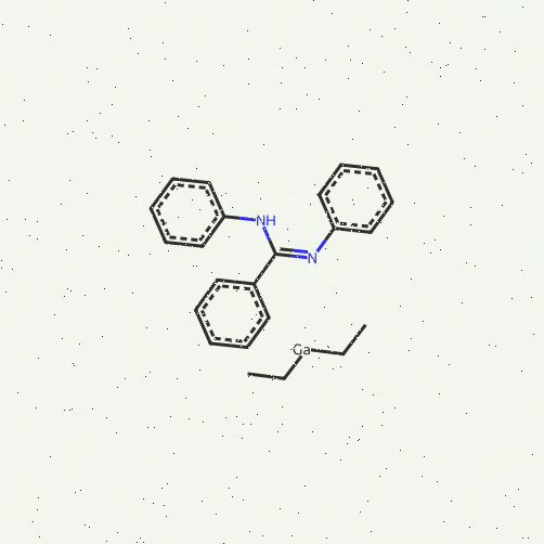 C[CH2][Ga][CH2]C.c1ccc(N=C(Nc2ccccc2)c2ccccc2)cc1